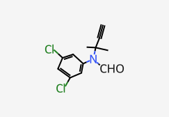 C#CC(C)(C)N(C=O)c1cc(Cl)cc(Cl)c1